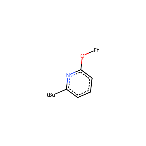 CCOc1cccc(C(C)(C)C)n1